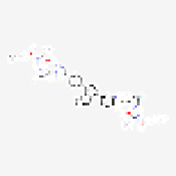 COC(=O)N[C@H](C(=O)N1C[C@@H](F)C[C@H]1c1ncc(-c2ccc(-c3ccc(-c4ccc5nc([C@@H]6C[C@@H](F)CN6C(=O)[C@@H](NC(=O)OC)C(C)C)[nH]c5c4)c4c3C3CCC3C4)cc2)[nH]1)C(C)C